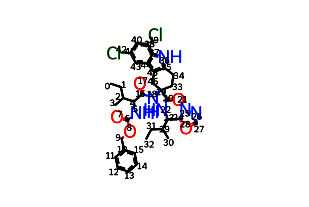 CCC(C)C(NC(=O)OCc1ccccc1)C(=O)N[C@]1(C(=O)NC(c2nnco2)C(C)CC)CCc2[nH]c3c(Cl)cc(Cl)cc3c2C1